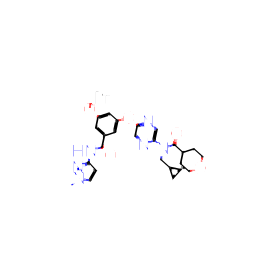 CC(C)Oc1cc(Oc2cnc(N(CC3CC3)C(=O)C3CCOCC3)cn2)cc(C(=O)Nc2ccn(C)n2)c1